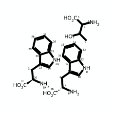 CC(O)C(N)C(=O)O.N[C@@H](Cc1c[nH]c2ccccc12)C(=O)O.N[C@H](Cc1c[nH]c2ccccc12)C(=O)O